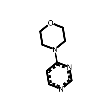 c1cc(N2CCOCC2)ncn1